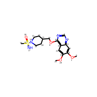 COc1cc2ncnc(OCC3CCN(S(C)(=N)=O)CC3)c2cc1OC